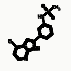 CS(=O)(=O)Nc1cccc(-c2cc3c(Cl)ccnc3[nH]2)c1